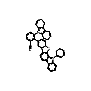 N#Cc1cccc(-n2c3c(c4c2CCC=C4)CCC=C3)c1C1=CC2c3ccc4c5ccccc5n(C5=CC=CCC5)c4c3OC2C=C1